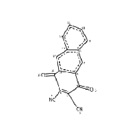 N#CC1=C(C#N)C(=O)c2cc3ccccc3cc2C1=O